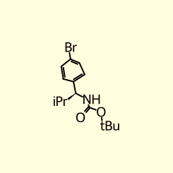 CC(C)[C@H](NC(=O)OC(C)(C)C)c1ccc(Br)cc1